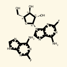 Nc1nc(F)nc2[nH]cnc12.Nc1nc(F)nc2c1ncn2[C@@H]1O[C@H](CO)[C@@H](O)[C@@H]1O